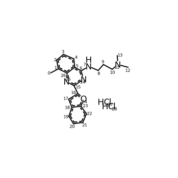 Cc1cccc2c(NCCCN(C)C)nc(-c3cc4ccccc4o3)nc12.Cl.Cl